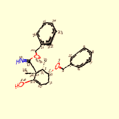 C[C@@H]1[C@H](OCc2ccccc2)CC=C(O)[C@]1(C)C(=N)OCc1ccccc1